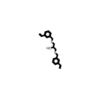 C=Cc1cccc(CSCC(O)CSCc2cccc(C=C)c2)c1